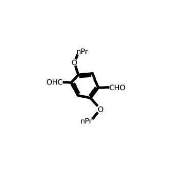 CCCOc1cc(C=O)c(OCCC)cc1C=O